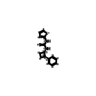 S=C(Nc1nccs1)N[C@@H]1CC[C@@H]1c1ccccc1